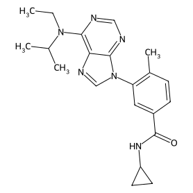 CCN(c1ncnc2c1ncn2-c1cc(C(=O)NC2CC2)ccc1C)C(C)C